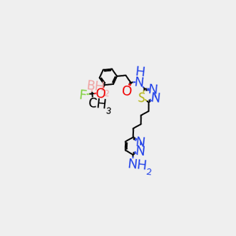 BC(C)(F)Oc1cccc(CC(=O)Nc2nnc(CCCCc3ccc(N)nn3)s2)c1